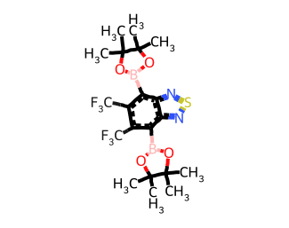 CC1(C)OB(c2c(C(F)(F)F)c(C(F)(F)F)c(B3OC(C)(C)C(C)(C)O3)c3nsnc23)OC1(C)C